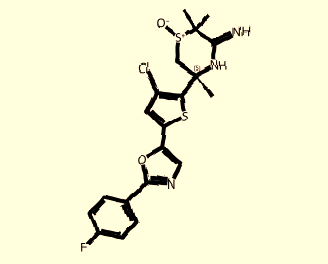 CC1(C)C(=N)N[C@](C)(c2sc(-c3cnc(-c4ccc(F)cc4)o3)cc2Cl)C[S+]1[O-]